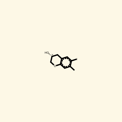 Cc1cc2c(cc1I)C[C@@H](O)CO2